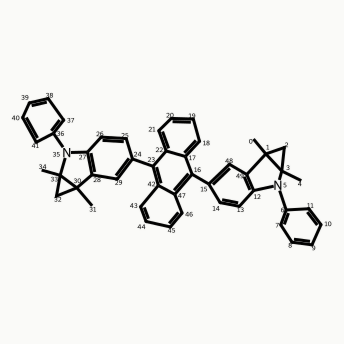 CC12CC1(C)N(c1ccccc1)c1ccc(-c3c4ccccc4c(-c4ccc5c(c4)C4(C)CC4(C)N5c4ccccc4)c4ccccc34)cc12